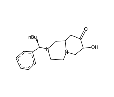 CCCC[C@H](c1ccccc1)N1CCN2CC(O)C(=O)CC2C1